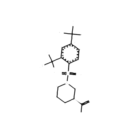 O=C(O)[C@H]1CCCN(S(=O)(=O)c2ccc(C(F)(F)F)cc2C(F)(F)F)C1